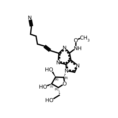 CONc1nc(C#CCCCC#N)nc2c1ncn2[C@@H]1O[C@H](CO)[C@@H](O)[C@H]1O